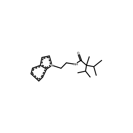 CC(C)C(C)(C(=O)NCCn1ccc2ccccc21)C(C)C